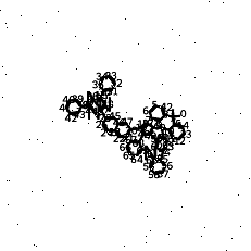 CC1(C)c2ccccc2C2(c3ccccc31)c1ccc(-c3ccc4ccc(-c5nc(-c6ccccc6)nc(-c6ccccc6)n5)cc4c3)c3c1-c1c2ccc2c4ccccc4n(c12)-c1ccccc1-3